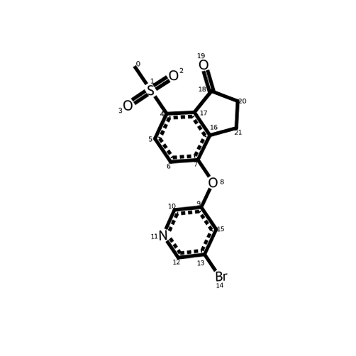 CS(=O)(=O)c1ccc(Oc2cncc(Br)c2)c2c1C(=O)CC2